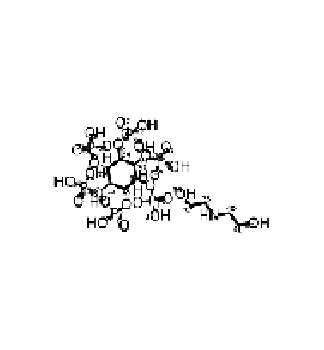 O=P(O)(O)O[C@H]1[C@H](OP(=O)(O)O)[C@@H](OP(=O)(O)O)[C@H](OP(=O)(O)O)[C@@H](OP(=O)(O)O)[C@H]1OP(=O)(O)O.OCCNCCO